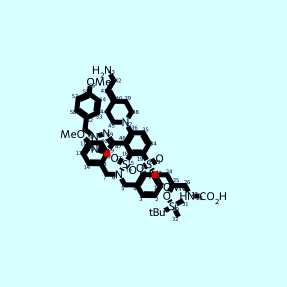 COc1ccc(CN(Cc2ccc(OC)cc2)S(=O)(=O)c2c(S(=O)(=O)NCC(CNC(=O)O)O[Si](C)(C)C(C)(C)C)ccc(N3CCC(=CCN)CC3)c2-c2nnn(Cc3ccc(OC)cc3)n2)cc1